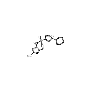 N#Cc1cc(F)c(NS(=O)(=O)c2c[nH]c(-c3ccccc3)c2)s1